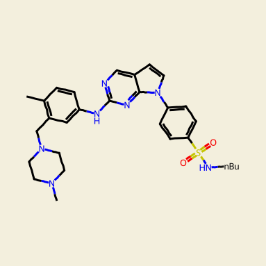 CCCCNS(=O)(=O)c1ccc(-n2ccc3cnc(Nc4ccc(C)c(CN5CCN(C)CC5)c4)nc32)cc1